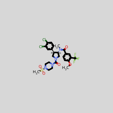 COc1ccc(C(=O)N(C)[C@@H]2CN(C(=O)N3CCN(S(C)(=O)=O)CC3)C[C@H]2c2ccc(Cl)c(Cl)c2)cc1C(F)(F)F